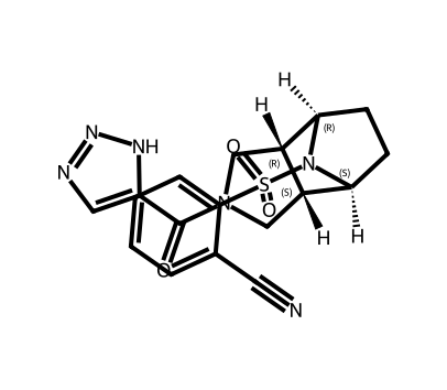 N#Cc1ccccc1S(=O)(=O)N1[C@@H]2CC[C@H]1[C@@H]1CN(C(=O)c3cnn[nH]3)C[C@@H]12